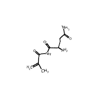 C=C(C)C(=O)NC(=O)C(N)CC(N)=O